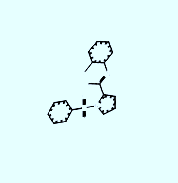 CC(=Nc1ccccc1I)c1cccn1S(=O)(=O)c1ccccc1